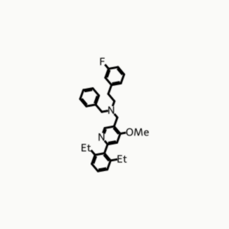 CCc1cccc(CC)c1-c1cc(OC)c(CN(CCc2cccc(F)c2)Cc2ccccc2)cn1